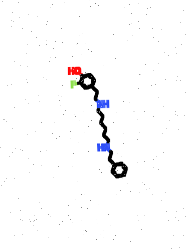 Oc1ccc(CCNCCCCCCNCCc2ccccc2)cc1F